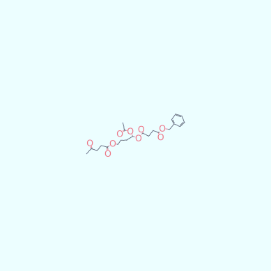 CC(=O)CCC(=O)OCCCC(OC(C)=O)OC(=O)CCC(=O)OCc1ccccc1